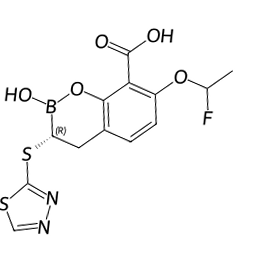 CC(F)Oc1ccc2c(c1C(=O)O)OB(O)[C@@H](Sc1nncs1)C2